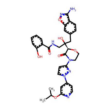 CC(C)Oc1cc(-n2ccc(N3CCO[C@H](C(O)(CNC(=O)c4ccccc4O)Cc4ccc5c(N)noc5c4)C3=O)n2)ccn1